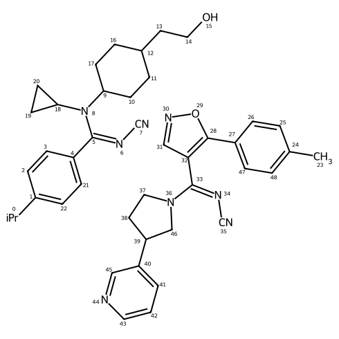 CC(C)c1ccc(C(=NC#N)N(C2CCC(CCO)CC2)C2CC2)cc1.Cc1ccc(-c2oncc2C(=NC#N)N2CCC(c3cccnc3)C2)cc1